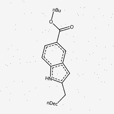 CCCCCCCCCCCc1cc2cc(C(=O)OCCCC)ccc2[nH]1